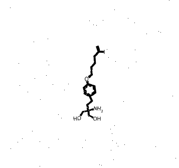 C=C(I)CCCCOc1ccc(CCC(N)(CO)CO)cc1